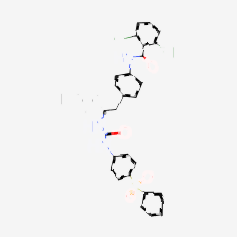 O=C(Nc1ccc(S(=O)(=O)c2ccccc2)cc1)N[C@@H](Cc1ccc(NC(=O)c2c(Cl)cccc2Cl)cc1)C(=O)O